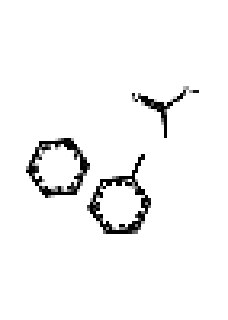 CC(=O)O.Ic1ccccc1.c1ccccc1